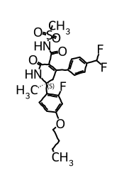 CCCCOc1ccc([C@]2(C)CC(c3ccc(C(F)F)cc3)=C(C(=O)NS(C)(=O)=O)C(=O)N2)c(F)c1